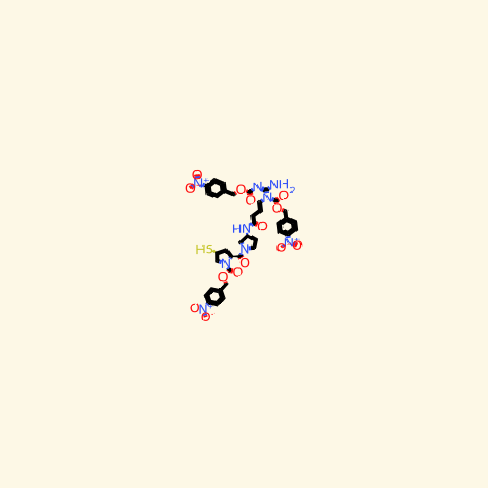 NC(=NC(=O)OCc1ccc([N+](=O)[O-])cc1)N(CCCC(=O)N[C@H]1CCN(C(=O)[C@@H]2C[C@H](S)CN2C(=O)OCc2ccc([N+](=O)[O-])cc2)C1)C(=O)OCc1ccc([N+](=O)[O-])cc1